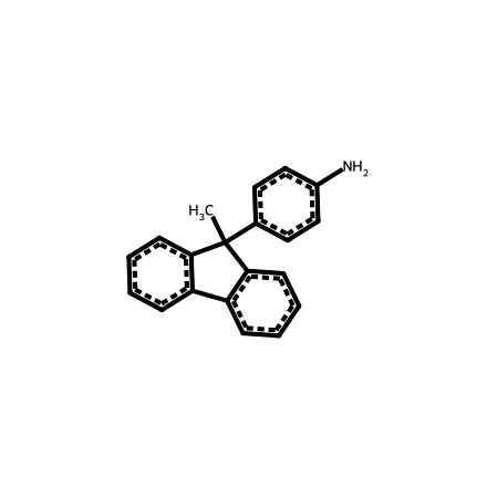 CC1(c2ccc(N)cc2)c2ccccc2-c2ccccc21